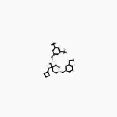 O=C(NCc1cc(C(F)(F)F)cc(C(F)(F)F)c1)C1(CC2CCC2)CCN(Cc2ccc3c(c2)CCO3)CC1